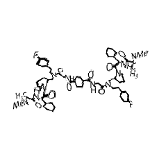 CN[C@@H](C)C(=O)N[C@H](C(=O)N1CCC[C@H]1CN(CCc1ccc(F)cc1)C(=O)CNC(=O)C1CCC(C(=O)NCC(=O)N(CCc2ccc(F)cc2)C[C@@H]2CCCN2C(=O)[C@@H](NC(=O)[C@H](C)NC)C2CCCCC2)CC1)C1CCCCC1